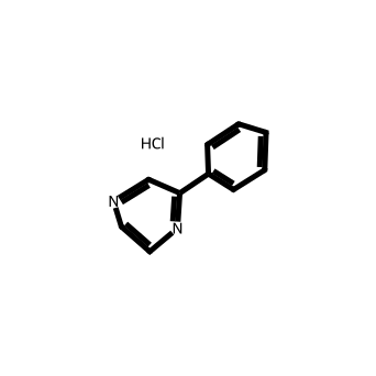 Cl.c1ccc(-c2cnccn2)cc1